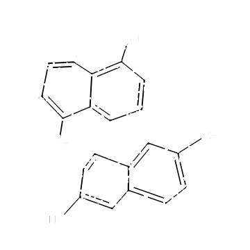 Sc1ccc2cc(S)ccc2c1.Sc1cccc2c(S)cccc12